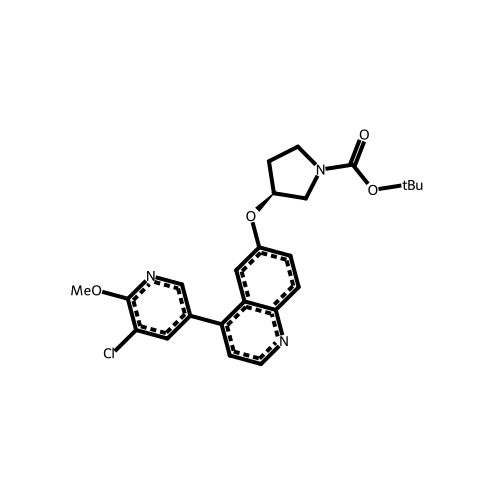 COc1ncc(-c2ccnc3ccc(O[C@H]4CCN(C(=O)OC(C)(C)C)C4)cc23)cc1Cl